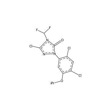 CC(C)Oc1cc(-n2nc(Cl)n(C(F)F)c2=O)c(Cl)cc1Cl